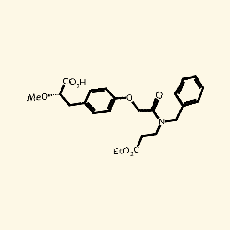 CCOC(=O)CCN(Cc1ccccc1)C(=O)COc1ccc(C[C@H](OC)C(=O)O)cc1